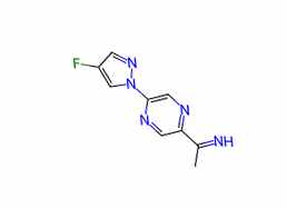 CC(=N)c1cnc(-n2cc(F)cn2)cn1